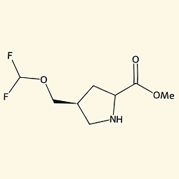 COC(=O)C1C[C@H](COC(F)F)CN1